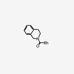 O=[C]([Rh])N1CCc2ccccc2C1